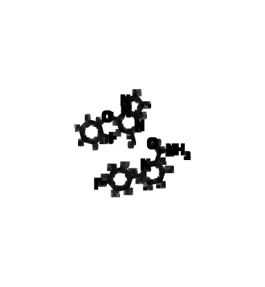 Cc1cc(Oc2ccccc2F)n2nccc2n1.NC(=O)c1cccc(-c2ccc(F)cc2)n1